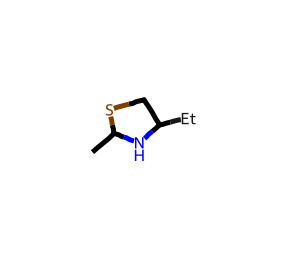 CCC1CSC(C)N1